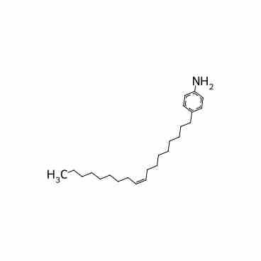 CCCCCCCC/C=C\CCCCCCCCc1ccc(N)cc1